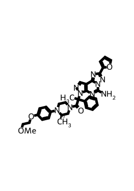 COCCOc1ccc(N2CCN(C(=O)C(C)(c3ccccc3)n3ncc4c3nc(N)n3nc(-c5ccco5)nc43)C[C@H]2C)cc1